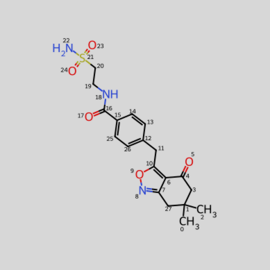 CC1(C)CC(=O)c2c(noc2Cc2ccc(C(=O)NCCS(N)(=O)=O)cc2)C1